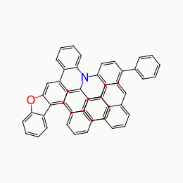 c1ccc(-c2ccc(N(c3ccccc3-c3ccc4c(c3)oc3ccccc34)c3ccccc3-c3cccc4cccc(-c5ccccc5)c34)c(-c3ccccc3)c2)cc1